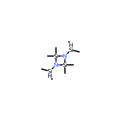 C[SiH](C)N1[Si](C)(C)N([SiH](C)C)[Si]1(C)C